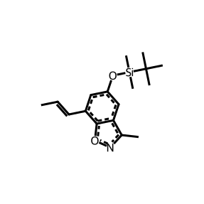 CC=Cc1cc(O[Si](C)(C)C(C)(C)C)cc2c(C)noc12